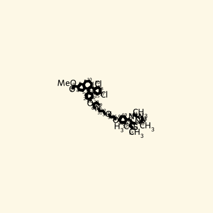 COC(=O)c1ccc2c(c1)CCCC(c1ccc(Cl)cc1Cl)=C2c1ccc(O[C@H]2CCN(CCCOCCOc3ccc(C4=N[C@@H](C)c5nnc(C)n5-c5sc(C)c(C)c54)cc3)C2)cc1